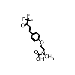 CN(CCOc1ccc(/C=C/C(=O)C(F)(F)F)cc1)C(=O)O